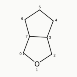 [CH]1OCC2CCCC12